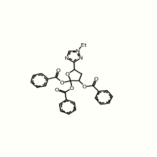 CCn1cnc(C2CC(OC(=O)c3ccccc3)C(OC(=O)c3ccccc3)(OC(=O)c3ccccc3)O2)n1